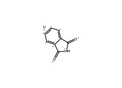 O=C1NC(=O)c2ccccc21.[Li]